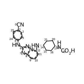 N#Cc1ccc(Nc2nc3cccc(N[C@H]4CC[C@@H](NC(=O)O)CC4)n3n2)cc1